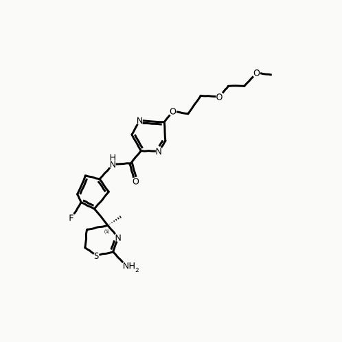 COCCOCCOc1cnc(C(=O)Nc2ccc(F)c([C@]3(C)CCSC(N)=N3)c2)cn1